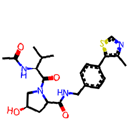 CC(=O)N[C@H](C(=O)N1C[C@H](O)CC1C(=O)NCc1ccc(-c2scnc2C)cc1)C(C)C